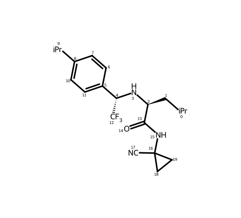 CC(C)C[C@H](N[C@@H](c1ccc(C(C)C)cc1)C(F)(F)F)C(=O)NC1(C#N)CC1